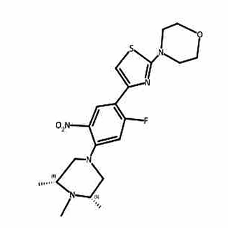 C[C@@H]1CN(c2cc(F)c(-c3csc(N4CCOCC4)n3)cc2[N+](=O)[O-])C[C@H](C)N1C